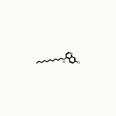 CCCCCCCCCCNc1ccnc2cc(Cl)ccc12